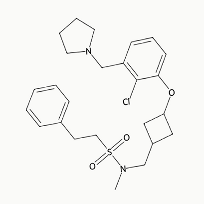 CN(CC1CC(Oc2cccc(CN3CCCC3)c2Cl)C1)S(=O)(=O)CCc1ccccc1